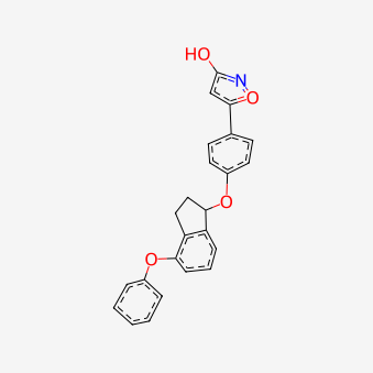 Oc1cc(-c2ccc(OC3CCc4c(Oc5ccccc5)cccc43)cc2)on1